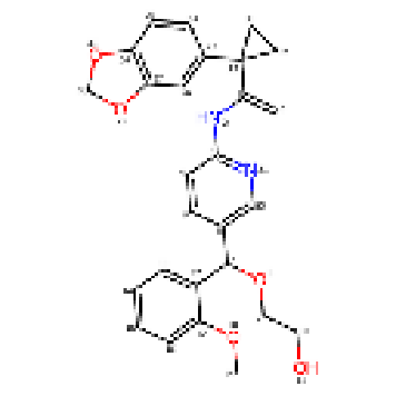 C=C(Nc1ccc(C(OCCO)c2ccccc2OC)cn1)C1(c2ccc3c(c2)OCO3)CC1